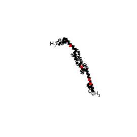 CCC(=O)Oc1cccc(CCCCCCCC2SSSSC(CC3CSSCC(CC4SSSSC(CCCCCCCc5cccc(OC(=O)CC)c5)C5CC4S5)SS3)C3CC2SS3)c1